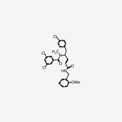 COc1ccccc1CNC(=O)C=CC(Cc1ccc(Cl)cc1)N(C)C(=O)c1cc(Cl)cc(Cl)c1